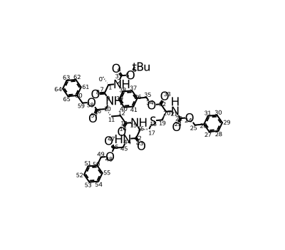 C[C@H](NC(=O)OC(C)(C)C)C(=O)N[C@H](CCC(=O)N[C@H](CSC[C@H](NC(=O)OCc1ccccc1)C(=O)OCc1ccccc1)C(=O)NCC(=O)OCc1ccccc1)C(=O)OCc1ccccc1